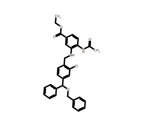 CCOC(=O)c1ccc(NC(C)=O)c(NCc2ccc(C(OCc3ccccc3)c3ccccc3)cc2Cl)c1